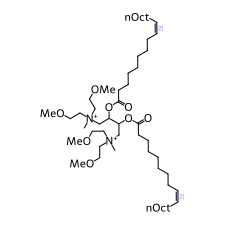 CCCCCCCC/C=C\CCCCCCCC(=O)OC(C[N+](C)(CCOC)CCOC)C(C[N+](C)(CCOC)CCOC)OC(=O)CCCCCCC/C=C\CCCCCCCC